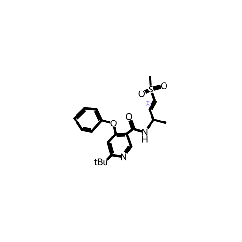 CC(/C=C/S(C)(=O)=O)NC(=O)c1cnc(C(C)(C)C)cc1Oc1ccccc1